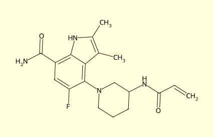 C=CC(=O)NC1CCCN(c2c(F)cc(C(N)=O)c3[nH]c(C)c(C)c23)C1